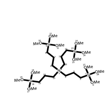 CO[Si](CCC[N+](CCC[Si](OC)(OC)OC)(CCC[Si](OC)(OC)OC)CCC[Si](OC)(OC)OC)(OC)OC